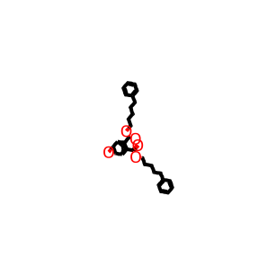 O=C(OCCCCCc1ccccc1)C1C2CCC(C3OC23)C1C(=O)OCCCCCc1ccccc1